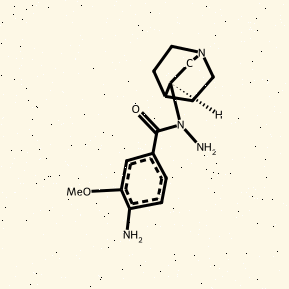 COc1cc(C(=O)N(N)[C@@H]2CN3CCC2CC3)ccc1N